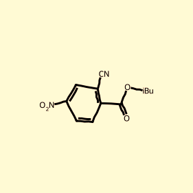 CCC(C)OC(=O)c1ccc([N+](=O)[O-])cc1C#N